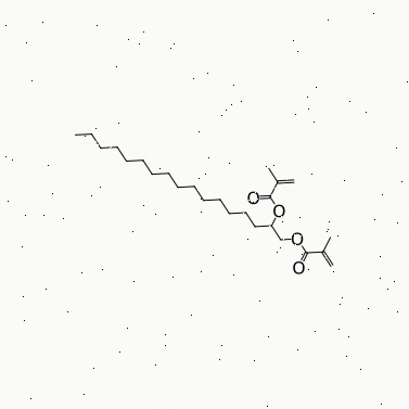 C=C(C)C(=O)OCC(CCCCCCCCCCCCCCC)OC(=O)C(=C)C